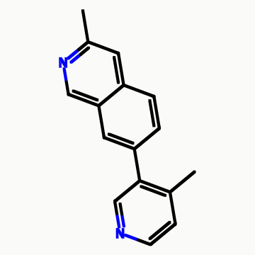 Cc1cc2ccc(-c3cnccc3C)cc2cn1